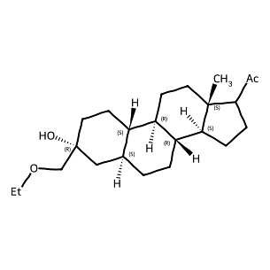 CCOC[C@@]1(O)CC[C@H]2[C@@H](CC[C@@H]3[C@@H]2CC[C@]2(C)C(C(C)=O)CC[C@@H]32)C1